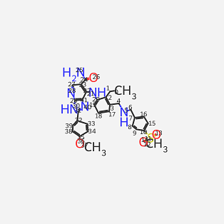 CCc1c(CNCc2ccc(S(C)(=O)=O)cc2)cccc1Nc1c(C(N)=O)cnc2[nH]c(-c3ccc(OC)cc3)nc12